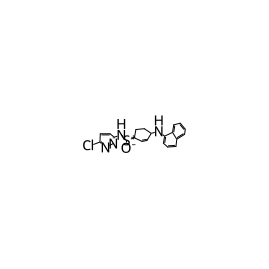 [O-][S+](Nc1ccc(Cl)nn1)C1C=CC(Nc2cccc3ccccc23)CC1